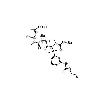 C=CCOC(=O)Nc1cccc(C(C)(C)[C@@H](C(=O)N[C@H](C(=O)N(C)[C@H](/C=C(\C)C(=O)O)C(C)C)C(C)(C)C)N(C)C(=O)OC(C)(C)C)c1